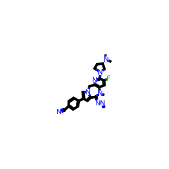 C=N/N=C1/c2cc(-c3ccc(C#N)cc3)cn2Cc2nc(N3CC[C@H](N(C)C)C3)c(F)cc2N1C